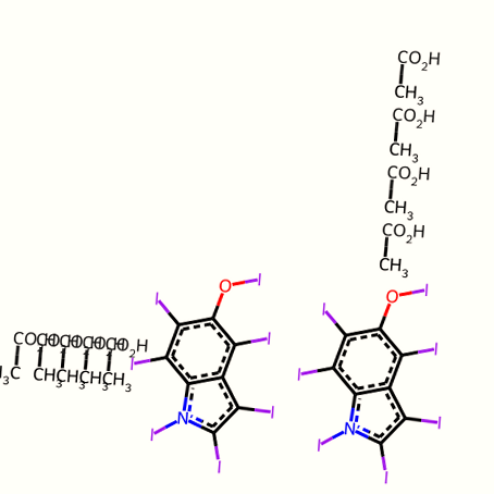 CC(=O)O.CC(=O)O.CC(=O)O.CC(=O)O.CC(=O)O.CC(=O)O.CC(=O)O.CC(=O)O.CC(=O)O.IOc1c(I)c(I)c2c(c1I)c(I)c(I)n2I.IOc1c(I)c(I)c2c(c1I)c(I)c(I)n2I